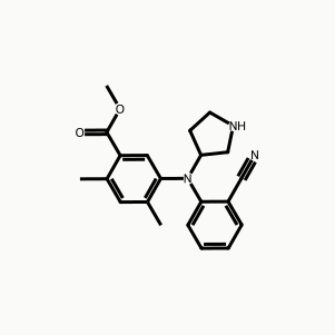 COC(=O)c1cc(N(c2ccccc2C#N)C2CCNC2)c(C)cc1C